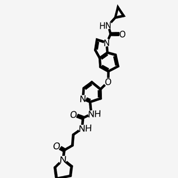 O=C(NCCC(=O)N1CCCC1)Nc1cc(Oc2ccc3c(ccn3C(=O)NC3CC3)c2)ccn1